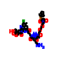 CCC(CC)(SC1CC(=O)N(CCOCCOCCC(=O)N[C@@H](C)C(=O)N[C@@H](CCCCN)C(=O)NCCCC(=O)N[C@H]2CCc3c(C)c(F)cc4nc5c(c2c34)Cn2c-5cc3c(c2=O)COC(=O)[C@]3(O)CC)C1=O)C1CCCC1